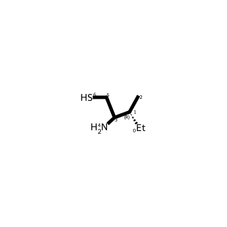 CC[C@@H](C)C(N)CS